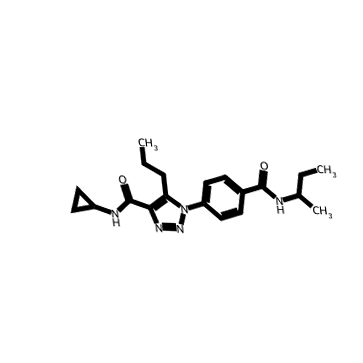 CCCc1c(C(=O)NC2CC2)nnn1-c1ccc(C(=O)NC(C)CC)cc1